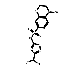 CC(C)c1nsc(NS(=O)(=O)c2ccc3c(c2)OCCN3C)n1